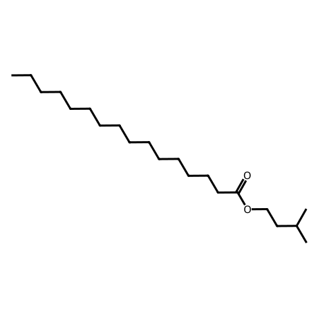 CCCCCCCCCCCCCCCC(=O)OCCC(C)C